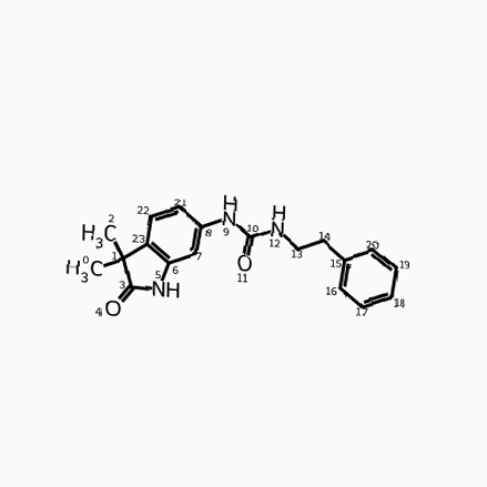 CC1(C)C(=O)Nc2cc(NC(=O)NCCc3ccccc3)ccc21